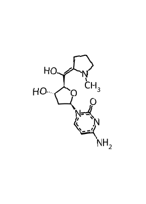 CN1CCCC1=C(O)[C@H]1O[C@@H](n2ccc(N)nc2=O)C[C@@H]1O